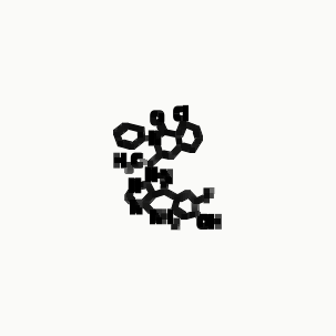 C[C@H](c1cc2cccc(Cl)c2c(=O)n1-c1ccccc1)n1nc(-c2ccc(O)c(F)c2)c2c(N)ncnc21